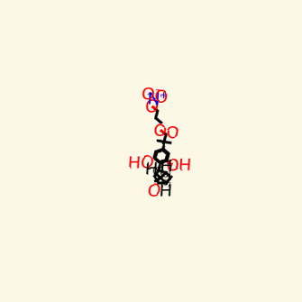 CC(C)(C(=O)OCCCO[N+](=O)[O-])c1cc(O)c([C@H]2CC(=O)[C@H]3C[C@@H]2C3(C)C)c(O)c1